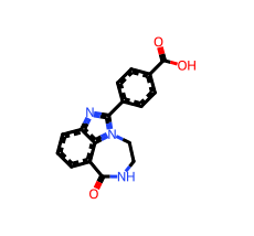 O=C(O)c1ccc(-c2nc3cccc4c3n2CCNC4=O)cc1